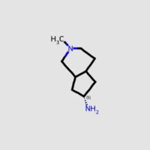 CN1CCC2C[C@H](N)CC2C1